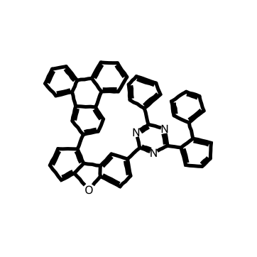 c1ccc(-c2nc(-c3ccc4oc5cccc(-c6ccc7c8ccccc8c8ccccc8c7c6)c5c4c3)nc(-c3ccccc3-c3ccccc3)n2)cc1